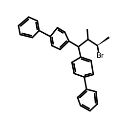 CC(C(c1ccc(-c2ccccc2)cc1)c1ccc(-c2ccccc2)cc1)[C@@H](C)Br